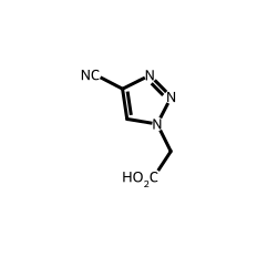 N#Cc1cn(CC(=O)O)nn1